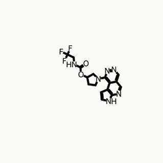 O=C(NCC(F)(F)F)OC1CCN(c2nncc3cnc4[nH]ccc4c23)C1